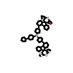 c1ccc(-c2ccc(N(c3ccc(-c4cccc5c4-c4ccccc4C54c5ccccc5Oc5ccccc54)cc3)c3ccc(-c4cccc5c4-c4ccccc4C54c5ccccc5Oc5ccccc54)cc3)cc2)cc1